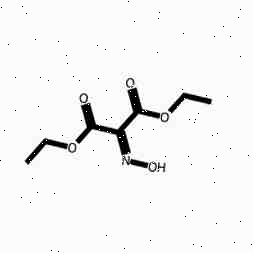 CCOC(=O)C(=NO)C(=O)OCC